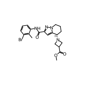 COC(=O)C1CN([C@H]2CCCn3nc(C(=O)Nc4cccc(Br)c4C)cc32)C1